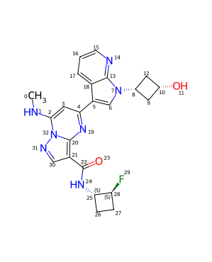 CNc1cc(-c2cn([C@H]3C[C@@H](O)C3)c3ncccc23)nc2c(C(=O)N[C@H]3CC[C@@H]3F)cnn12